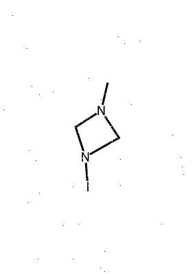 CN1CN(I)C1